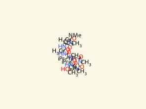 CCCC(=O)N(C)CC(=O)N(C)[C@@H](CC(C)(C)O)C(=O)N[C@H](C(=O)N(C)[C@@H](CC(C)C)C(=O)N[C@H](C)C(=O)N[C@@H](C)C(=O)N(C)[C@H](C)C(=O)NC)C(C)C